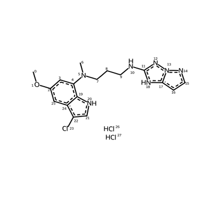 COc1cc(N(C)CCCNc2nn3nccc3[nH]2)c2[nH]cc(Cl)c2c1.Cl.Cl